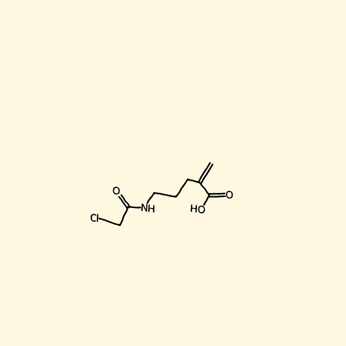 C=C(CCCNC(=O)CCl)C(=O)O